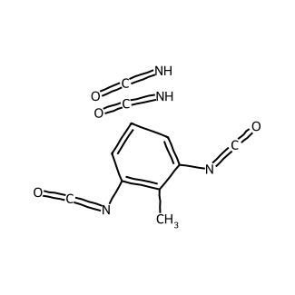 Cc1c(N=C=O)cccc1N=C=O.N=C=O.N=C=O